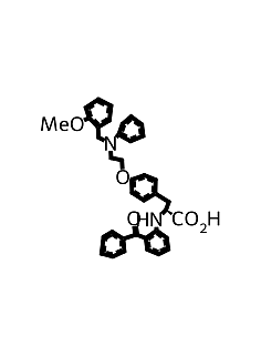 COc1ccccc1CN(CCOc1ccc(C[C@H](Nc2ccccc2C(=O)c2ccccc2)C(=O)O)cc1)c1ccccc1